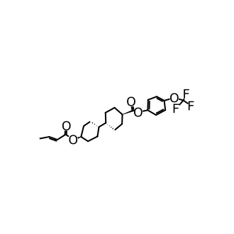 C/C=C/C(=O)O[C@H]1CC[C@H]([C@H]2CC[C@H](C(=O)Oc3ccc(OC(F)(F)F)cc3)CC2)CC1